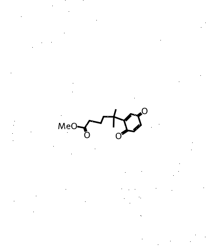 COC(=O)CCCC(C)(C)C1=CC(=O)C=CC1=O